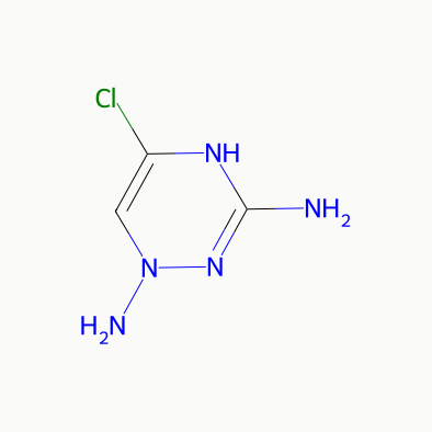 NC1=NN(N)C=C(Cl)N1